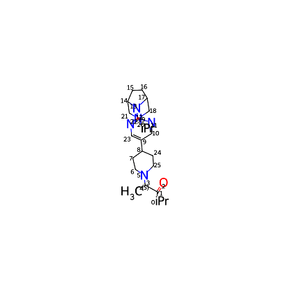 CC(C)C(=O)[C@H](C)N1CCC(c2cnc(N3C4CCC3CN(C(C)C)C4)nc2)CC1